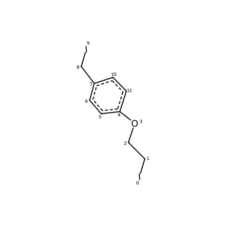 ICCOc1ccc(CI)cc1